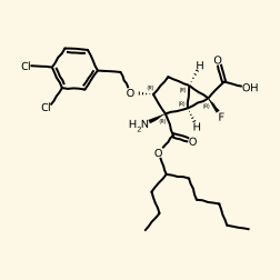 CCCCCC(CCC)OC(=O)[C@@]1(N)[C@H]2[C@@H](C[C@H]1OCc1ccc(Cl)c(Cl)c1)[C@]2(F)C(=O)O